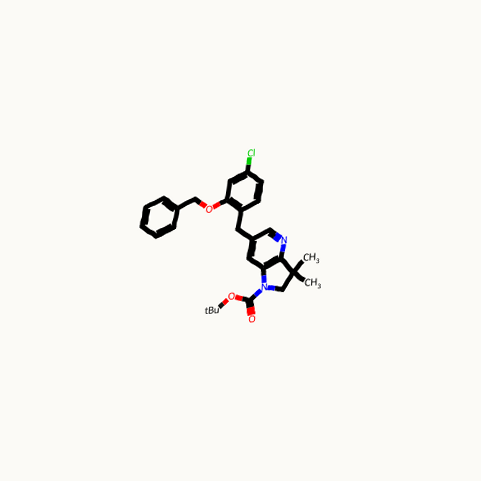 CC(C)(C)OC(=O)N1CC(C)(C)c2ncc(Cc3ccc(Cl)cc3OCc3ccccc3)cc21